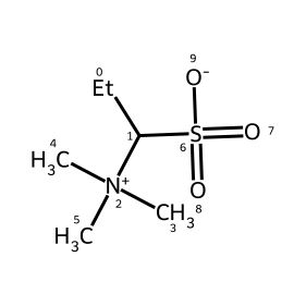 CCC([N+](C)(C)C)S(=O)(=O)[O-]